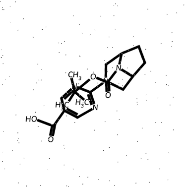 CC(C)(C)OC(=O)N1C2CCC1CN(c1ncc(C(=O)O)cn1)C2